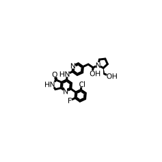 O=C1NCc2nc(-c3c(F)cccc3Cl)cc(Nc3ccc(CC(O)N4CCC[C@H]4CO)cn3)c21